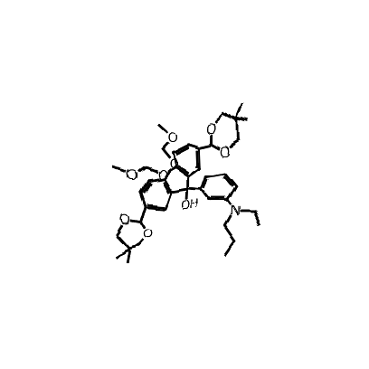 CCCN(CC)c1cccc(C(O)(c2cc(C3OCC(C)(C)CO3)ccc2OCOC)c2cc(C3OCC(C)(C)CO3)ccc2OCOC)c1